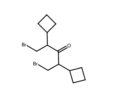 O=C(C(CBr)C1CCC1)C(CBr)C1CCC1